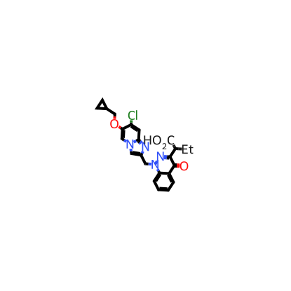 CCC(C(=O)O)c1nn(Cc2cn3cc(OCC4CC4)c(Cl)cc3n2)c2ccccc2c1=O